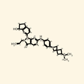 C=CCn1c(=O)c2cnc(Nc3ccc(N4CC5(CC(N(C)C)C5)C4)cc3)nc2n1-c1ccc2c(n1)C(O)CC2